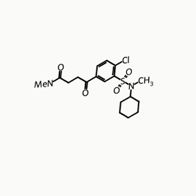 CNC(=O)CCC(=O)c1ccc(Cl)c(S(=O)(=O)N(C)C2CCCCC2)c1